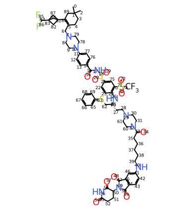 CC1(C)CCC(CN2CCN(c3ccc(C(=O)NS(=O)(=O)c4ccc(N[C@H](CCN5CCN(C(=O)CCCCCNc6ccc7c(c6)C(=O)N(C6CCC(=O)NC6=O)C7=O)CC5)CSc5ccccc5)c(S(=O)(=O)C(F)(F)F)c4)cc3)CC2)=C(C23CC(C(F)F)(C2)C3)C1